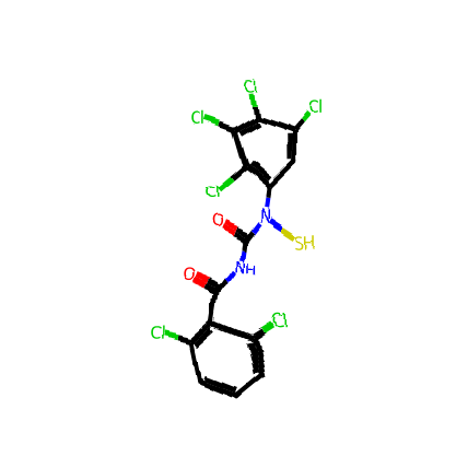 O=C(NC(=O)N(S)c1cc(Cl)c(Cl)c(Cl)c1Cl)c1c(Cl)cccc1Cl